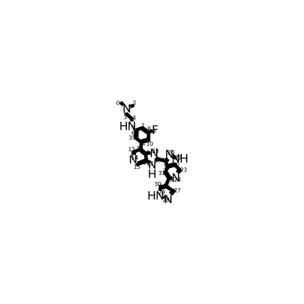 CN(C)CCNc1cc(F)cc(-c2cncc3[nH]c(-c4n[nH]c5cnc(-c6cn[nH]c6)cc45)nc23)c1